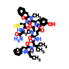 CCC(=O)N[C@@H](Cc1ccccc1)C(=O)N[C@@H](C(=O)N[C@@H](CCC(=O)O)C(=O)N(C)CC(=O)N[C@@H](Cc1ccc(O)cc1)C(=O)N(C)[C@H](Cc1ccccc1)C(=O)N[C@H](CS)C(=O)NCC(N)=O)C(C)C